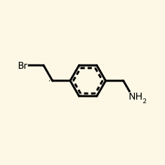 NCc1ccc([CH]CBr)cc1